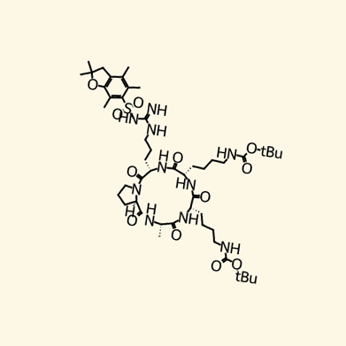 Cc1c(C)c(S(=O)(=O)NC(=N)NCCC[C@@H]2NC(=O)[C@H](CCCCNC(=O)OC(C)(C)C)NC(=O)[C@H](CCCCNC(=O)OC(C)(C)C)NC(=O)[C@H](C)NC(=O)[C@H]3CCCN3C2=O)c(C)c2c1CC(C)(C)O2